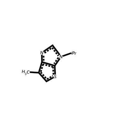 Cc1csc2c1ncn2C(C)C